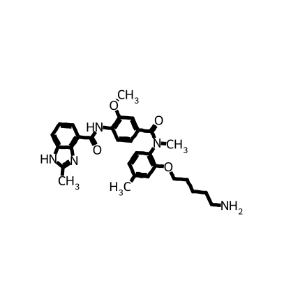 COc1cc(C(=O)N(C)c2ccc(C)cc2OCCCCCN)ccc1NC(=O)c1cccc2[nH]c(C)nc12